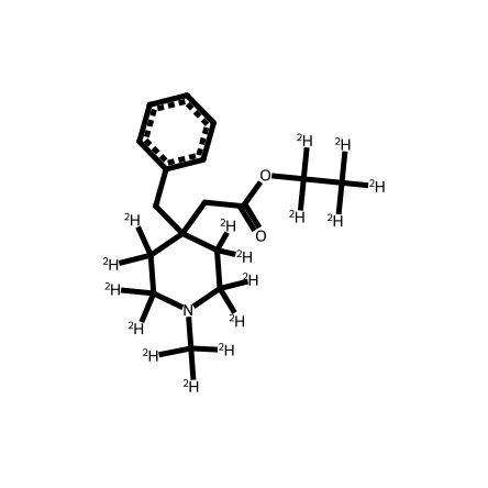 [2H]C([2H])([2H])N1C([2H])([2H])C([2H])([2H])C(CC(=O)OC([2H])([2H])C([2H])([2H])[2H])(Cc2ccccc2)C([2H])([2H])C1([2H])[2H]